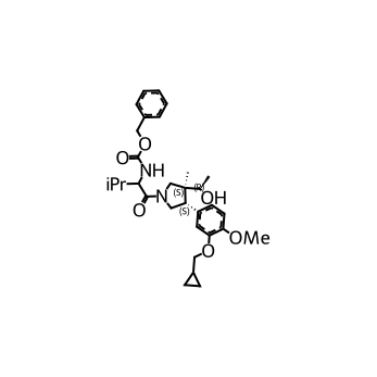 COc1ccc([C@@H]2CN(C(=O)C(NC(=O)OCc3ccccc3)C(C)C)C[C@@]2(C)[C@@H](C)O)cc1OCC1CC1